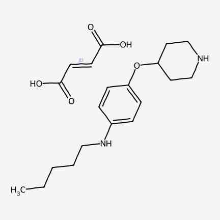 CCCCCNc1ccc(OC2CCNCC2)cc1.O=C(O)/C=C/C(=O)O